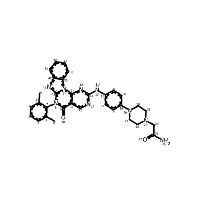 Cc1cccc(C)c1-n1c(=O)c2cnc(Nc3ccc(N4CCN(CC(N)=O)CC4)cc3)nc2n2c3ccccc3nc12